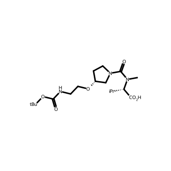 CC(C)[C@@H](C(=O)O)N(C)C(=O)N1CC[C@@H](OCCNC(=O)OC(C)(C)C)C1